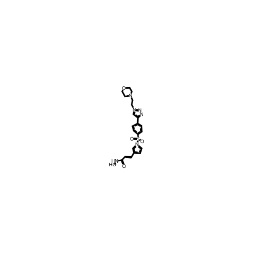 O=C(C=Cc1ccn(S(=O)(=O)c2ccc(-c3cn(CCN4CCOCC4)nn3)cc2)c1)NO